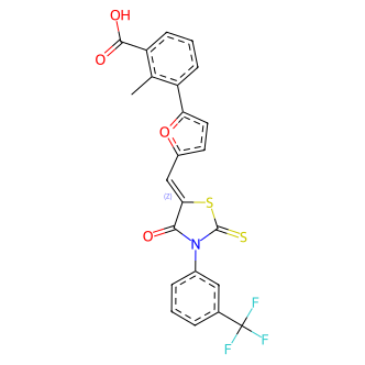 Cc1c(C(=O)O)cccc1-c1ccc(/C=C2\SC(=S)N(c3cccc(C(F)(F)F)c3)C2=O)o1